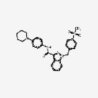 CS(=O)(=O)c1ccc(Cn2nc(C(=O)Nc3ccc(N4CCCCC4)cc3)c3ccccc32)cc1